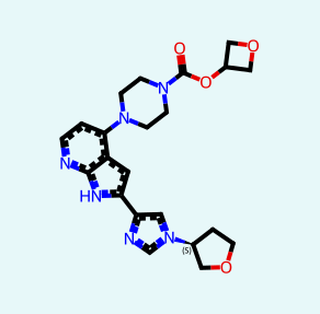 O=C(OC1COC1)N1CCN(c2ccnc3[nH]c(-c4cn([C@H]5CCOC5)cn4)cc23)CC1